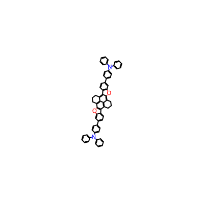 c1ccc(N(c2ccccc2)c2ccc(-c3ccc4c(c3)oc3c5c6c(c7c(oc8cc(-c9ccc(N(c%10ccccc%10)c%10ccccc%10)cc9)ccc87)c7c6c(c34)CCC7)CCC5)cc2)cc1